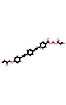 C=CC(=O)COc1ccc(C#Cc2ccc(C#Cc3ccc(C(=O)OCOC(=O)C=C)cc3)cc2)cc1